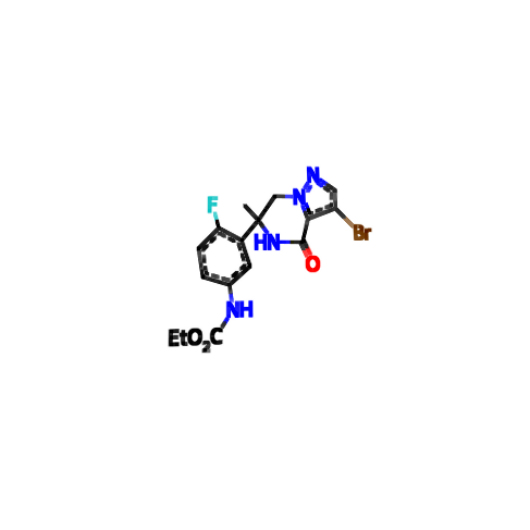 CCOC(=O)Nc1ccc(F)c(C2(C)Cn3ncc(Br)c3C(=O)N2)c1